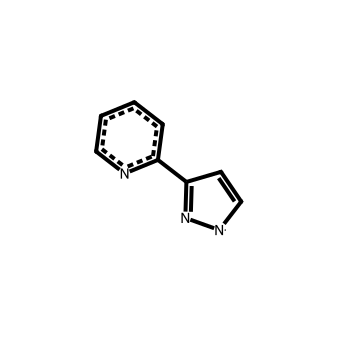 C1=CC(c2ccccn2)=N[N]1